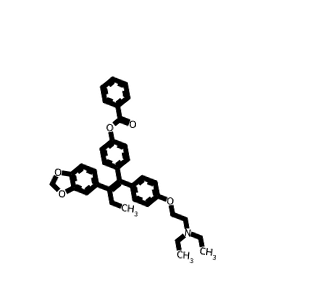 CCC(=C(c1ccc(OCCN(CC)CC)cc1)c1ccc(OC(=O)c2ccccc2)cc1)c1ccc2c(c1)OCO2